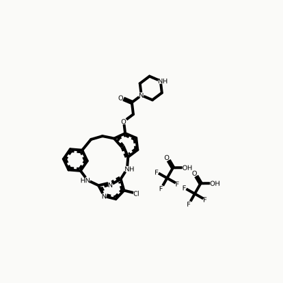 O=C(COc1ccc2cc1CCc1cccc(c1)Nc1ncc(Cl)c(n1)N2)N1CCNCC1.O=C(O)C(F)(F)F.O=C(O)C(F)(F)F